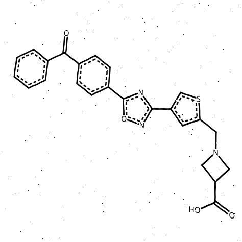 O=C(c1ccccc1)c1ccc(-c2nc(-c3csc(CN4CC(C(=O)O)C4)c3)no2)cc1